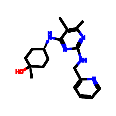 Cc1nc(NCc2ccccn2)nc(N[C@H]2CC[C@@](C)(O)CC2)c1C